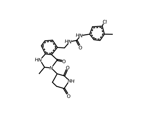 Cc1ccc(NC(=O)NCc2cccc3c2C(=O)N(C2CCC(=O)NC2=O)C(C)N3)cc1Cl